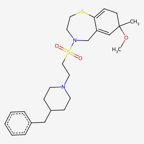 COC1(C)C=C2CN(S(=O)(=O)CCN3CCC(Cc4ccccc4)CC3)CCSC2=CC1